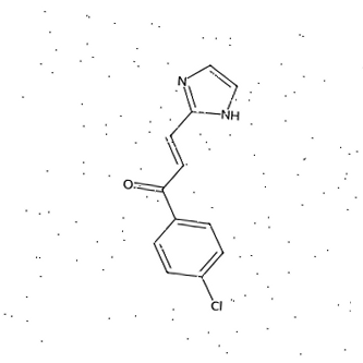 O=C(C=Cc1ncc[nH]1)c1ccc(Cl)cc1